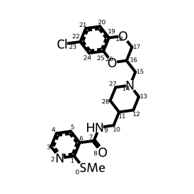 CSc1ncccc1C(=O)NCC1CCN(CC2COc3ccc(Cl)cc3O2)CC1